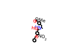 COC(=O)c1ccc(CC(C)NCC(O)c2ccc(OCc3ccccc3)c([N+](=O)[O-])c2)cc1